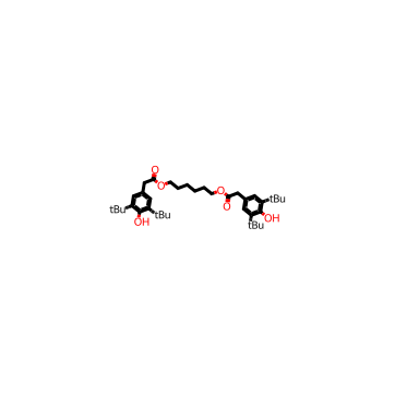 CC(C)(C)c1cc(CC(=O)OCCCCCCOC(=O)Cc2cc(C(C)(C)C)c(O)c(C(C)(C)C)c2)cc(C(C)(C)C)c1O